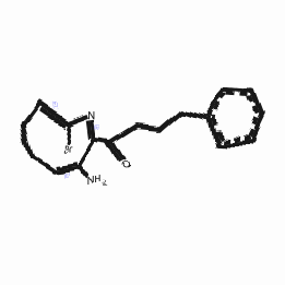 NC1=C/CC/C=C(Br)/N=C\1C(=O)CCCc1ccccc1